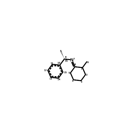 CC1CCCCC1=N[C@@H](C)c1ccccc1